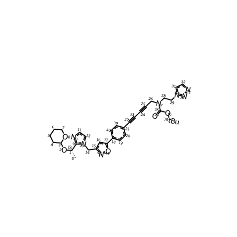 C[C@H](OC1CCCCO1)c1nccn1Cc1cc(-c2ccc(C#CC#CCN(CCn3ccnn3)C(=O)OC(C)(C)C)cc2)on1